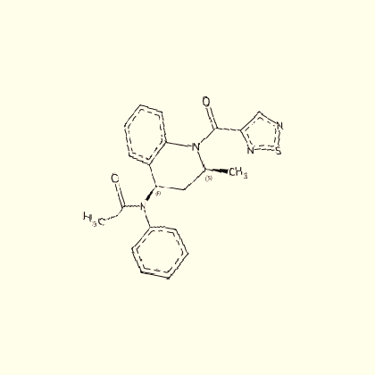 CC(=O)N(c1ccccc1)[C@@H]1C[C@H](C)N(C(=O)c2cnsn2)c2ccccc21